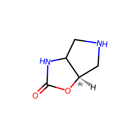 O=C1NC2CNC[C@H]2O1